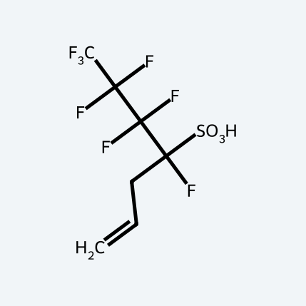 C=CCC(F)(C(F)(F)C(F)(F)C(F)(F)F)S(=O)(=O)O